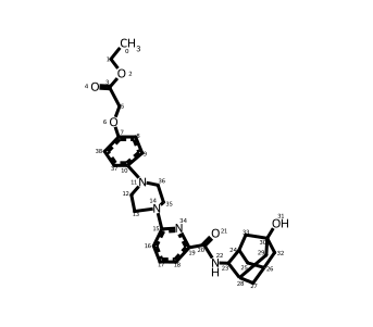 CCOC(=O)COc1ccc(N2CCN(c3cccc(C(=O)NC4C5CC6CC4CC(O)(C6)C5)n3)CC2)cc1